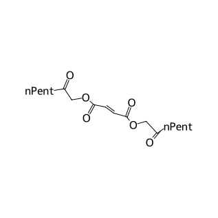 CCCCCC(=O)COC(=O)/C=C/C(=O)OCC(=O)CCCCC